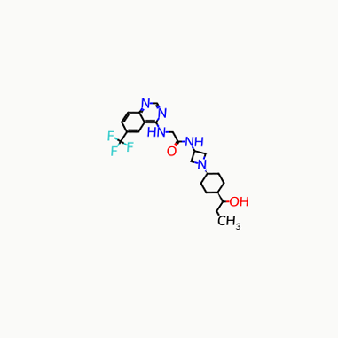 CCC(O)[C@H]1CC[C@H](N2CC(NC(=O)CNc3ncnc4ccc(C(F)(F)F)cc34)C2)CC1